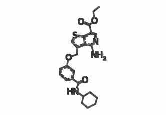 CCOC(=O)c1cnc(N)c2c(COc3cccc(C(=O)NC4CCCCC4)c3)csc12